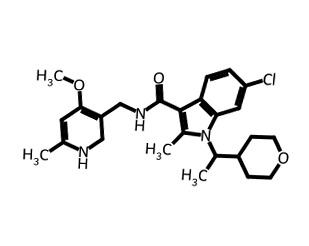 COC1=C(CNC(=O)c2c(C)n(C(C)C3CCOCC3)c3cc(Cl)ccc23)CNC(C)=C1